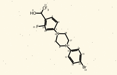 OC(c1ccc(N2CCN(c3ccc(Br)cc3)CC2)cc1F)C(F)(F)F